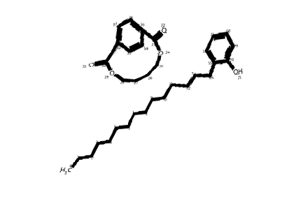 CCCCCCCCCCCCCCCc1ccccc1O.O=C1OCCCCOC(=O)c2ccc1cc2